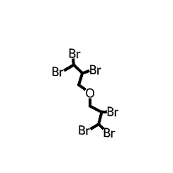 BrC(Br)C(Br)COCC(Br)C(Br)Br